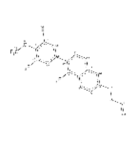 C=CCCc1ccc2c(F)c(-c3cc(F)c(OC(F)(F)F)c(F)c3)ccc2c1